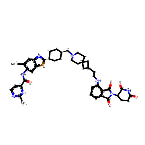 COc1cc2nc([C@H]3CC[C@H](CN4CCC5(CC4)CC(CCNc4cccc6c4C(=O)N(C4CCC(=O)NC4=O)C6=O)C5)CC3)sc2cc1NC(=O)c1ccnc(C)n1